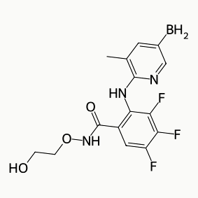 Bc1cnc(Nc2c(C(=O)NOCCO)cc(F)c(F)c2F)c(C)c1